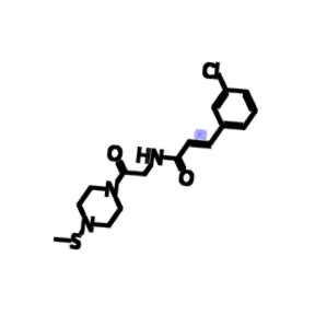 CSN1CCN(C(=O)CNC(=O)/C=C/c2cccc(Cl)c2)CC1